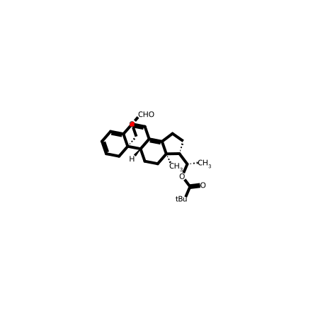 C[C@H](OC(=O)C(C)(C)C)[C@H]1CCC2=C3C=CC4=CC=CC[C@]4(COC=O)[C@H]3CC[C@@]21C